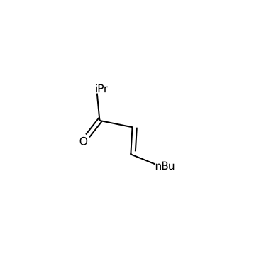 CCCCC=CC(=O)C(C)C